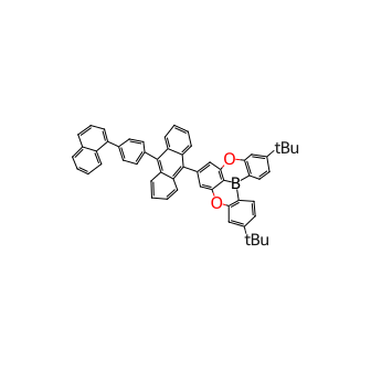 CC(C)(C)c1ccc2c(c1)Oc1cc(-c3c4ccccc4c(-c4ccc(-c5cccc6ccccc56)cc4)c4ccccc34)cc3c1B2c1ccc(C(C)(C)C)cc1O3